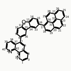 c1cnc2c(c1)cc(-c1ccc3oc4ccc(-c5ccc6ccc7cccc8ccc5c6c78)cc4c3c1)c1cccnc12